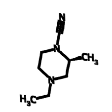 CCN1CCN(C#N)[C@@H](C)C1